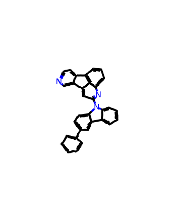 c1ccc(-c2ccc3c(c2)c2ccccc2n3-c2cc3c4c(cccc4n2)-c2ccncc2-3)cc1